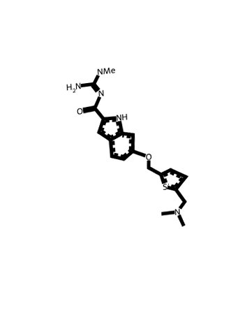 CNC(N)=NC(=O)c1cc2ccc(OCc3ccc(CN(C)C)s3)cc2[nH]1